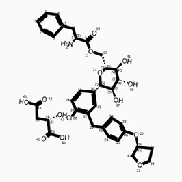 N[C@@H](Cc1ccccc1)C(=O)OC[C@H]1O[C@@H](c2ccc(Cl)c(Cc3ccc(O[C@H]4CCOC4)cc3)c2)[C@H](O)[C@@H](O)[C@@H]1O.O=C(O)C[C@H](O)C(=O)O